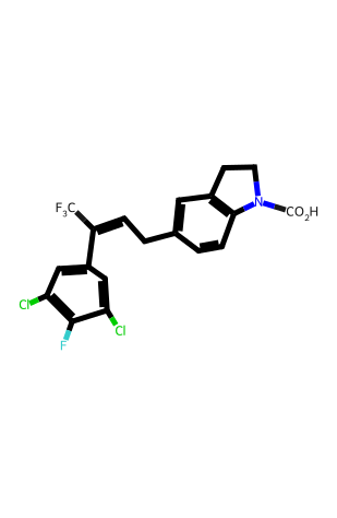 O=C(O)N1CCc2cc(CC=C(c3cc(Cl)c(F)c(Cl)c3)C(F)(F)F)ccc21